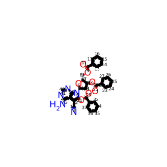 N#Cc1cn([C@@H]2O[C@H](COC(=O)c3ccccc3)[C@@H](OC(=O)c3ccccc3)[C@H]2OC(=O)c2ccccc2)c2ncnc(N)c12